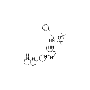 CCc1c(NC[C@H](NCCCc2ccccc2)C(=O)OC(C)(C)C)ncnc1N1CCC(c2ccc3c(n2)NCCC3)CC1